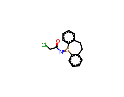 O=C(CCl)N=S1c2ccccc2CCc2ccccc21